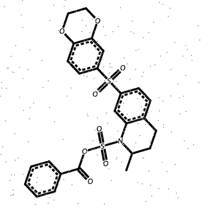 CC1CCc2ccc(S(=O)(=O)c3ccc4c(c3)OCCO4)cc2N1S(=O)(=O)OC(=O)c1ccccc1